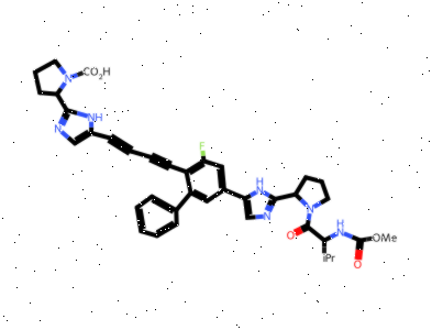 COC(=O)NC(C(=O)N1CCCC1c1ncc(-c2cc(F)c(C#CC#Cc3cnc(C4CCCN4C(=O)O)[nH]3)c(-c3ccccc3)c2)[nH]1)C(C)C